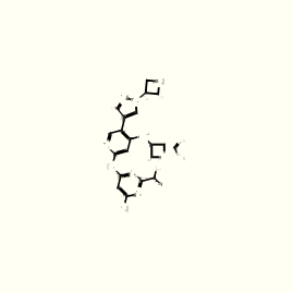 Nc1cc(Nc2cc(OC3COC3)c(-c3cnn(C4CNC4)c3)cn2)nc(C(F)F)n1.O=CO